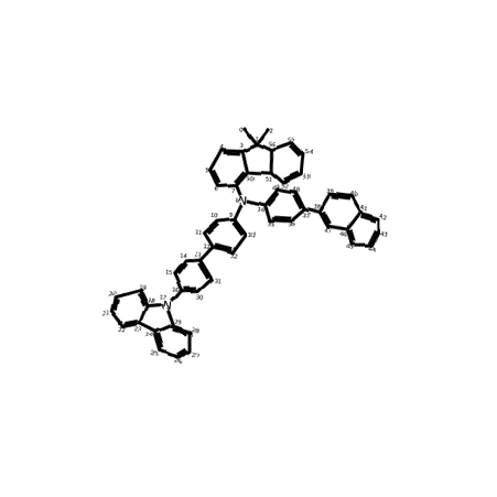 CC1(C)c2cccc(N(c3ccc(-c4ccc(-n5c6ccccc6c6ccccc65)cc4)cc3)c3ccc(-c4ccc5ccccc5c4)cc3)c2C2C=CC=CC21